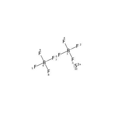 F[B-](F)(F)F.F[B-](F)(F)F.[S+2]